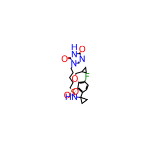 O=c1ncn(CCCCCS(=O)(=O)NC2(c3ccc(F)c(OCC4CC4)c3)CC2)c(=O)[nH]1